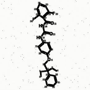 CCC(CC)(COc1ccc(NC(=O)NC(=O)c2c(F)cccc2F)cc1)c1ccccc1